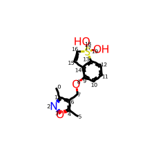 Cc1noc(C)c1COc1cccc2c1C=CS2(O)O